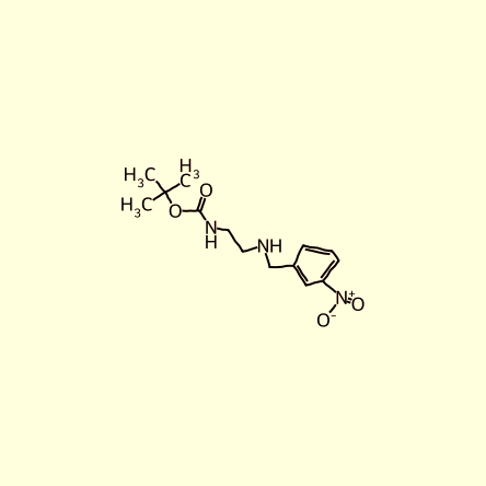 CC(C)(C)OC(=O)NCCNCc1cccc([N+](=O)[O-])c1